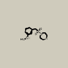 O=S(=O)(Cc1cccc(NO)c1)N1CCOCC1